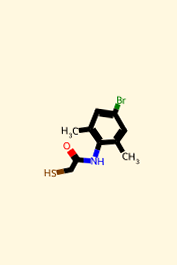 Cc1cc(Br)cc(C)c1NC(=O)CS